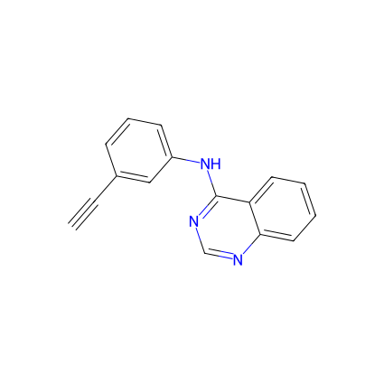 C#Cc1cccc(Nc2ncnc3ccccc23)c1